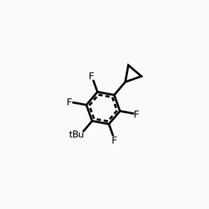 CC(C)(C)c1c(F)c(F)c(C2CC2)c(F)c1F